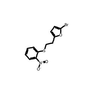 O=[N+]([O-])c1ccccc1SCCc1ccc(Br)o1